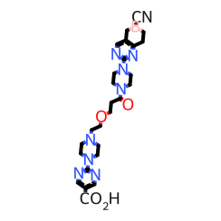 N#CB1CCc2nc(N3CCN(C(=O)CCOCCN4CCN(c5ncc(C(=O)O)cn5)CC4)CC3)ncc2C1